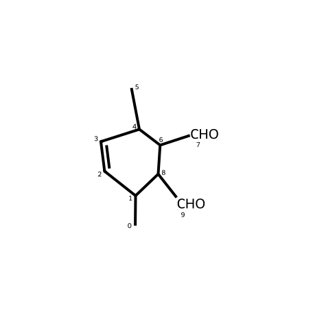 CC1C=CC(C)C(C=O)C1C=O